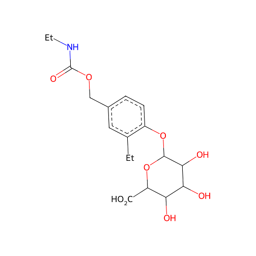 CCNC(=O)OCc1ccc(OC2OC(C(=O)O)C(O)C(O)C2O)c(CC)c1